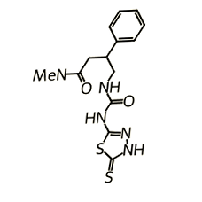 CNC(=O)CC(CNC(=O)Nc1n[nH]c(=S)s1)c1ccccc1